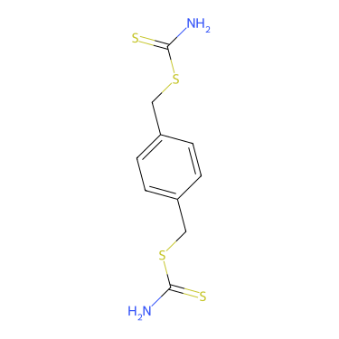 NC(=S)SCc1ccc(CSC(N)=S)cc1